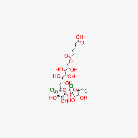 O=C(O)CCCCC(=O)OCC(O)C(O)C(O)C(O)C(O)C[C@H]1O[C@H](O[C@]2(CCl)O[C@@H](CCl)C(O)C2O)[C@H](O)[C@@H](O)[C@H]1Cl